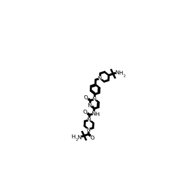 CC(C)(N)C(=O)N1CCN(C(=O)Nc2ccn(-c3ccc(CN4CCC(C(C)(C)N)CC4)cc3)c(=O)n2)CC1